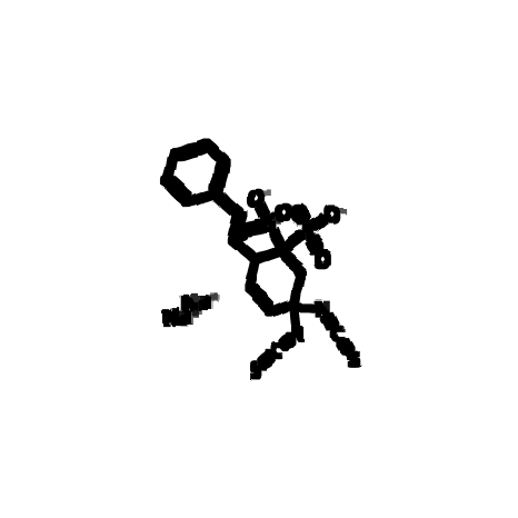 O=S(=O)([O-])C1(S(=O)(=O)[O-])CC(N=C=S)(N=C=S)C=CC1C=Cc1ccccc1.[Na+].[Na+]